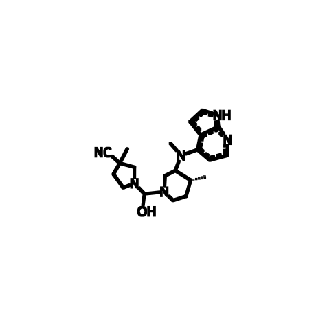 C[C@@H]1CCN(C(O)N2CCC(C)(C#N)C2)CC1N(C)c1ccnc2[nH]ccc12